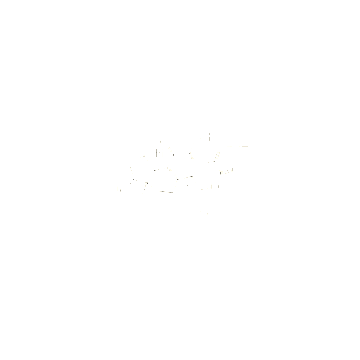 COC[C@H]1OC(=O)/C(=C\O)C2=C(O)C(=O)C3=C([C]C[C@]4(C)[C@@H](O)CC[C@@H]34)[C@]21C